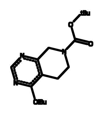 CC(C)COc1ncnc2c1CCN(C(=O)OC(C)(C)C)C2